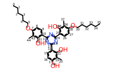 CCCCCCOc1ccc(-c2nc(-c3ccc(O)c(C)c3O)nc(-c3ccc(OCCCCCC)c(C)c3O)n2)c(O)c1C